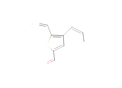 C=Cc1sc(C=O)cc1/C=C\C